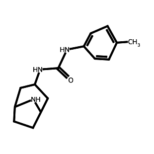 Cc1ccc(NC(=O)NC2CC3CCC(C2)N3)cc1